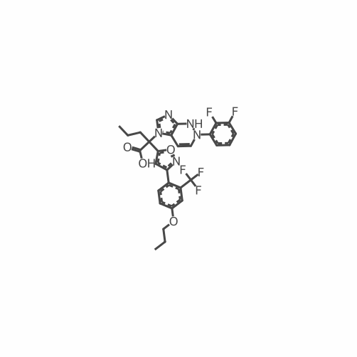 CCCOc1ccc(-c2cc(C(CCC)(C(=O)O)n3cnc4c3C=CN(c3cccc(F)c3F)N4)on2)c(C(F)(F)F)c1